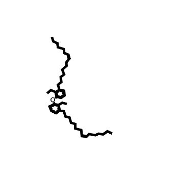 CCCCCC/C=C\CCCCCCCc1cccc(Oc2cccc(CCCCCCC/C=C\CCCCCC)c2CC)c1CC